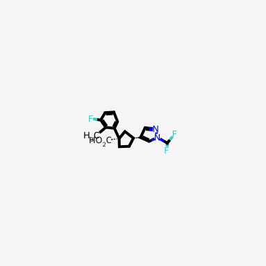 Cc1c(F)cccc1[C@]1(C(=O)O)CC[C@@H](c2cnn(C(F)F)c2)C1